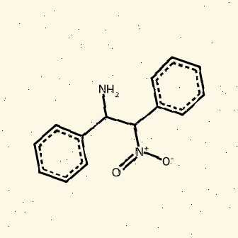 N[C](c1ccccc1)C(c1ccccc1)[N+](=O)[O-]